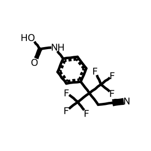 N#CCC(c1ccc(NC(=O)O)cc1)(C(F)(F)F)C(F)(F)F